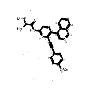 CNC(C)C(=O)Nc1ccc(-c2cncc3ccccc23)c(C#Cc2ccc(OC)cc2)n1